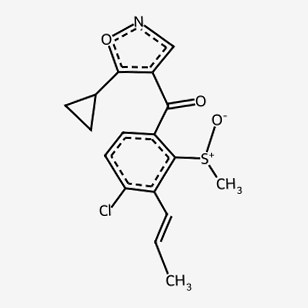 CC=Cc1c(Cl)ccc(C(=O)c2cnoc2C2CC2)c1[S+](C)[O-]